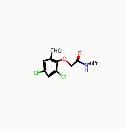 CCCNC(=O)COc1c(Cl)cc(Cl)cc1C=O